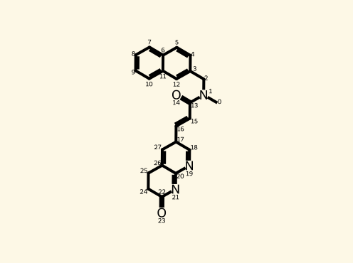 CN(Cc1ccc2ccccc2c1)C(=O)C=CC1C=NC2=NC(=O)CCC2=C1